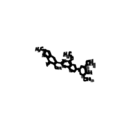 COc1nc(-c2cc3cn(C)nc3c(F)c2O)nc2ncc(N3C[C@H](C)N[C@@H](C)C3)cc12